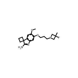 COc1cc2c(cc1OCCCN1CC(C)(F)C1)N=C(N)C21CCC1